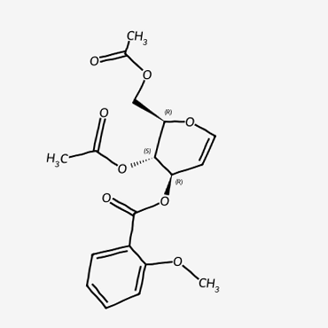 COc1ccccc1C(=O)O[C@@H]1C=CO[C@H](COC(C)=O)[C@H]1OC(C)=O